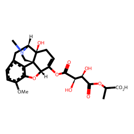 COc1ccc2c3c1O[C@H]1C(OC(=O)[C@H](O)[C@@H](O)C(=O)OC(C)C(=O)O)=CC[C@@]4(O)[C@@H](C2)N(C)CC[C@]314